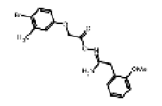 COc1ccccc1C/C(N)=N/OC(=O)COc1ccc(Br)c(C)c1